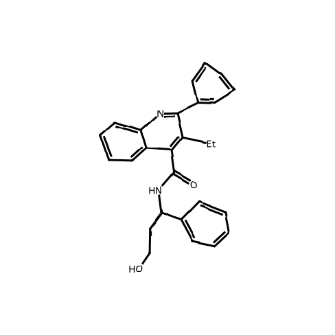 CCc1c(-c2ccccc2)nc2ccccc2c1C(=O)NC(CCO)c1ccccc1